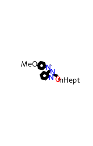 CCCCCCCOCc1nc(N(C)c2ccc(OC)cc2)c2ccccc2n1